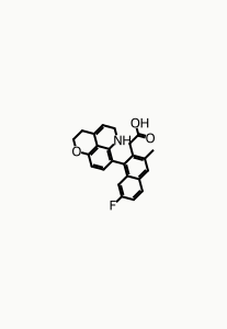 Cc1cc2ccc(F)cc2c(-c2ccc3c4c2NCC=C4CCO3)c1CC(=O)O